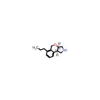 CCCc1cccc2c1CO[C@H]1CNC[C@@H]21